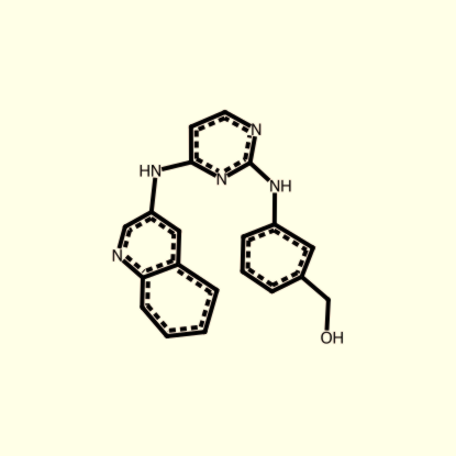 OCc1cccc(Nc2nccc(Nc3cnc4ccccc4c3)n2)c1